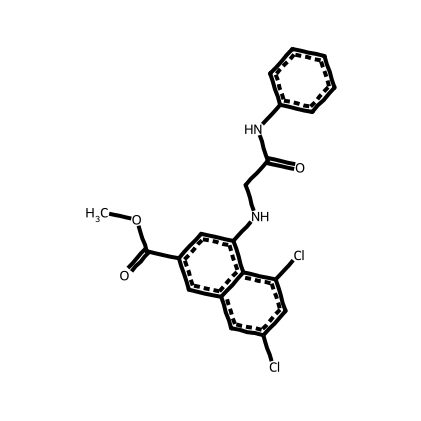 COC(=O)c1cc(NCC(=O)Nc2ccccc2)c2c(Cl)cc(Cl)cc2c1